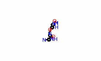 CNC(=O)N1CCc2cc(OCCN3CCC4(CC3)C(=O)Nc3ccc(C#N)cc34)ccc2C1